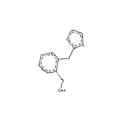 OCc1ccccc1Cc1cccs1